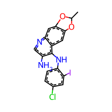 CC1Oc2cc3ncc(N)c(Nc4ccc(Cl)cc4I)c3cc2O1